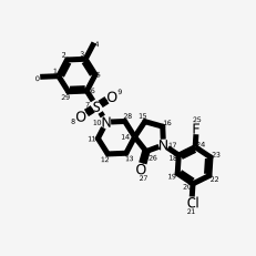 Cc1cc(C)cc(S(=O)(=O)N2CCCC3(CCN(c4cc(Cl)ccc4F)C3=O)C2)c1